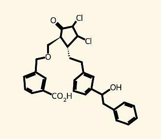 O=C(O)c1cccc(COC[C@H]2C(=O)C(Cl)C(Cl)[C@@H]2CCc2cccc(C(O)Cc3ccccc3)c2)c1